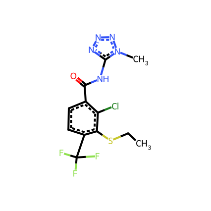 CCSc1c(C(F)(F)F)ccc(C(=O)Nc2nnnn2C)c1Cl